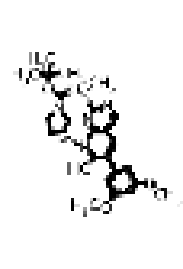 COc1cc(OC)cc(C2=Cc3cnc(SC)nc3N(C[C@@H]3CCN(C(=O)OC(C)(C)C)C3)C2O)c1